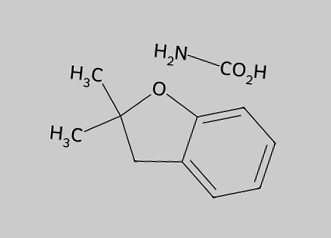 CC1(C)Cc2ccccc2O1.NC(=O)O